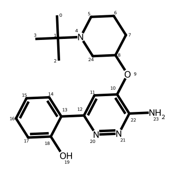 CC(C)(C)N1CCCC(Oc2cc(-c3ccccc3O)nnc2N)C1